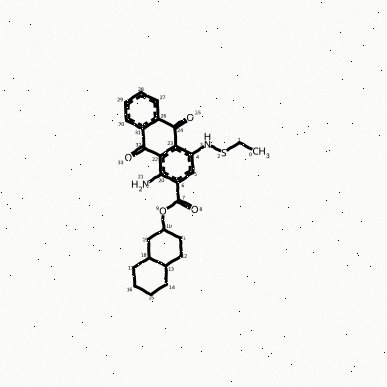 CCSNc1cc(C(=O)OC2CCC3CCCCC3C2)c(N)c2c1C(=O)c1ccccc1C2=O